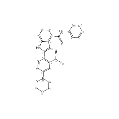 O=C(Nc1cccnc1)c1cncc2[nH]c(-c3ccc(N4CCOCC4)cc3C(F)F)nc12